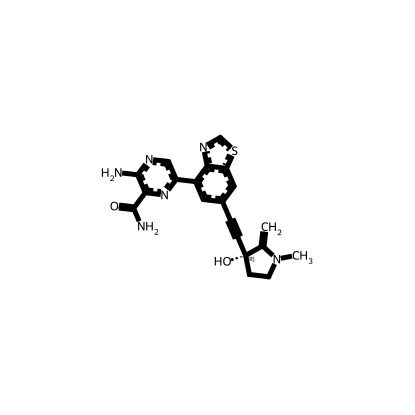 C=C1N(C)CC[C@@]1(O)C#Cc1cc(-c2cnc(N)c(C(N)=O)n2)c2ncsc2c1